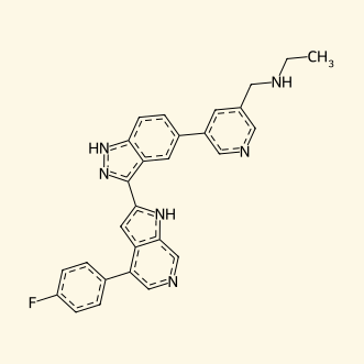 CCNCc1cncc(-c2ccc3[nH]nc(-c4cc5c(-c6ccc(F)cc6)cncc5[nH]4)c3c2)c1